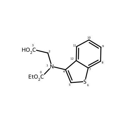 CCOC(=O)N(CC(=O)O)c1csc2ccccc12